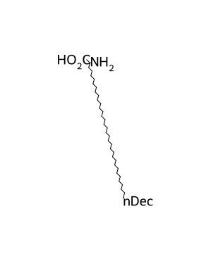 CCCCCCCCCCCCCCCCCCCCCCCCCCCCCCCCCCCCCCCCCCCC(N)C(=O)O